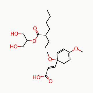 CCCCC(CC)C(=O)OC(CO)CO.COC1=CCC(C=CC(=O)O)(OC)C=C1